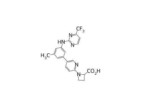 Cc1cc(Nc2nccc(C(F)(F)F)n2)cc(-c2ccc(N3CCC3C(=O)O)nc2)c1